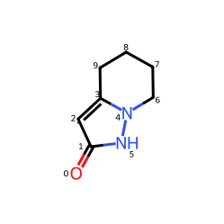 O=c1[c]c2n([nH]1)CCCC2